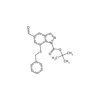 CC(C)(C)OC(=O)n1ncc2cc(C=O)cc(SCc3ccccc3)c21